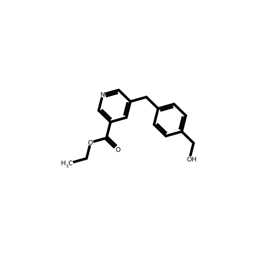 CCOC(=O)c1cncc(Cc2ccc(CO)cc2)c1